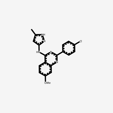 COc1ccc2c(Nc3cc(C)[nH]n3)nc(-c3ccc(Cl)cc3)nc2c1